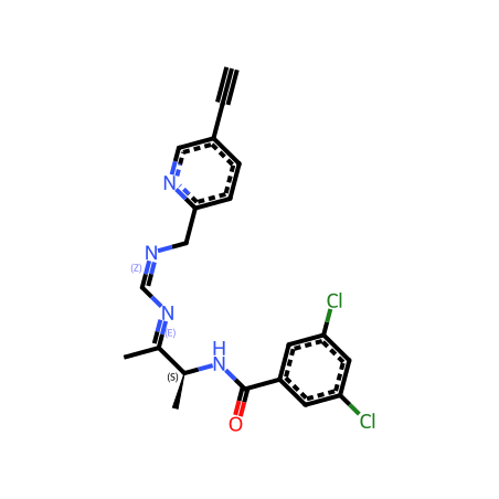 C#Cc1ccc(C/N=C\N=C(/C)[C@H](C)NC(=O)c2cc(Cl)cc(Cl)c2)nc1